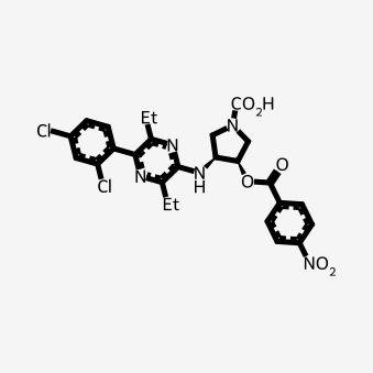 CCc1nc(-c2ccc(Cl)cc2Cl)c(CC)nc1N[C@H]1CN(C(=O)O)C[C@H]1OC(=O)c1ccc([N+](=O)[O-])cc1